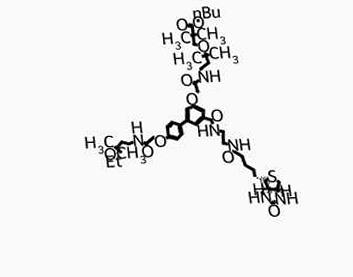 CCCCOC(=O)C(C)(C)COC(C)(C)CCNC(=O)COc1cc(C(=O)NCCNC(=O)CCCC[C@@H]2SC[C@@H]3NC(=O)N[C@@H]32)cc(-c2ccc(OCC(=O)NCCC(C)(C)OCC)cc2)c1